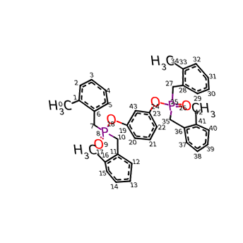 Cc1ccccc1CP(=O)(Cc1ccccc1C)Oc1cccc(OP(=O)(Cc2ccccc2C)Cc2ccccc2C)c1